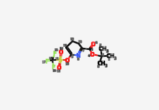 CC(C)(C)OC(=O)C1=NC(OS(=O)(=O)C(F)(F)F)=CCC1